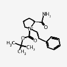 CC(C)(C)OC(=O)[N+]1(CCc2ccccc2)CCC[C@H]1C(N)=O